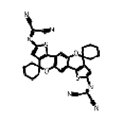 N#CC(C#N)=Nc1cc2c(s1)-c1cc3c(cc1OC21CCCCC1)-c1sc(N=C(C#N)C#N)cc1C1(CCCCC1)O3